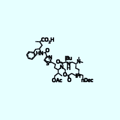 CCCCCCCCCCCCCCC(CNC(C(=O)N(COC(=O)CC(C)C)C(CCc1nc(C(=O)NC(Cc2ccccc2)CC(C)C(=O)O)cs1)C(C)COC(C)=O)C(C)CC)N(C)C